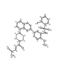 COc1ncc(-c2ccc3ncnc(N4CCN(C(=O)/C=C/C(C)=O)CC4)c3c2)cc1NS(=O)(=O)c1ccncc1F